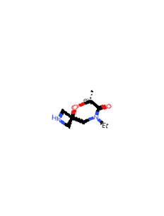 CCN1CC2(CNC2)O[C@H](C)C1=O